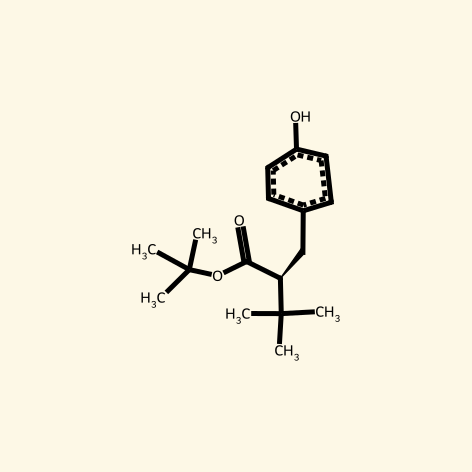 CC(C)(C)OC(=O)[C@@H](Cc1ccc(O)cc1)C(C)(C)C